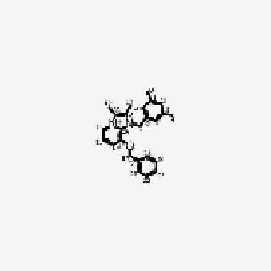 Cc1cc(C)cc(Cn2c(C)c(C)[n+]3cccc(OCc4ccccc4)c23)c1